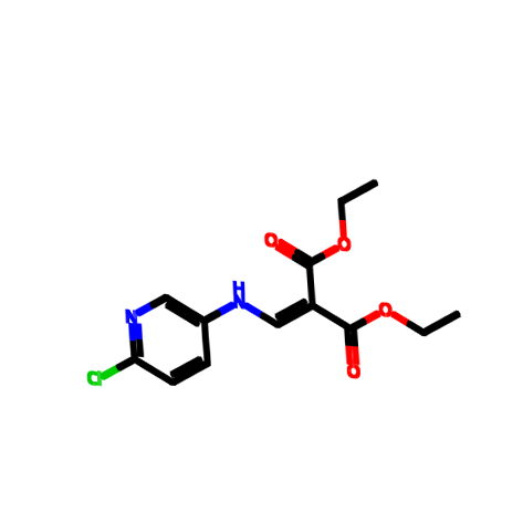 CCOC(=O)C(=CNc1ccc(Cl)nc1)C(=O)OCC